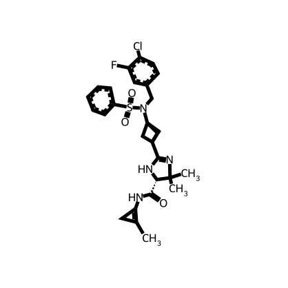 CC1=C(NC(=O)[C@@H]2NC(C34CC(N(Cc5ccc(Cl)c(F)c5)S(=O)(=O)c5ccccc5)(C3)C4)=NC2(C)C)C1